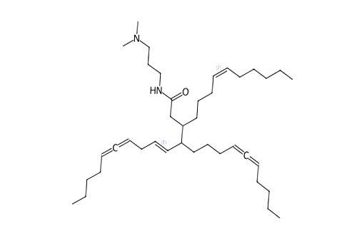 CCCCC=C=CC/C=C/C(CCCC=C=CCCCC)C(CCC/C=C\CCCCC)CC(=O)NCCCN(C)C